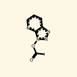 O=C(I)On1nnc2cccnc21